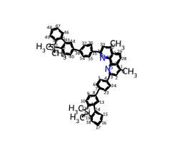 Cc1cc(-c2ccc(-c3ccc4c(c3)-c3ccccc3[Si]4(C)C)cc2)nc2c1ccc1c(C)cc(-c3ccc(-c4ccc5c(c4)-c4ccccc4[Si]5(C)C)cc3)nc12